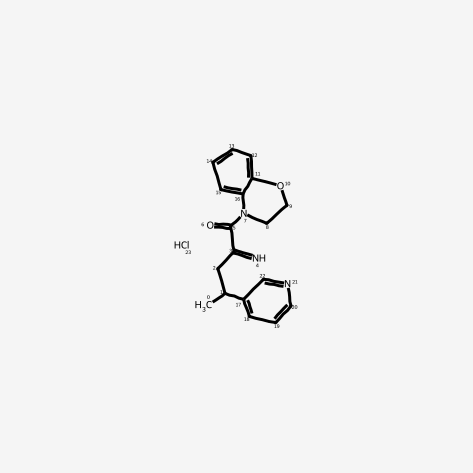 CC(CC(=N)C(=O)N1CCOc2ccccc21)c1cccnc1.Cl